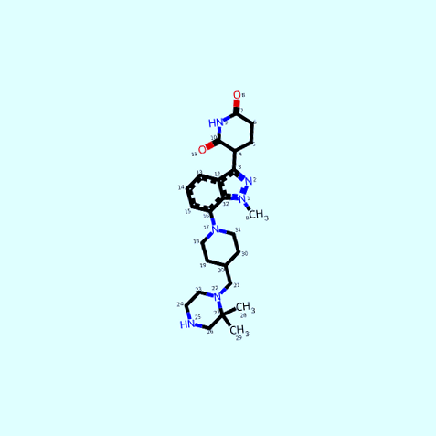 Cn1nc(C2CCC(=O)NC2=O)c2cccc(N3CCC(CN4CCNCC4(C)C)CC3)c21